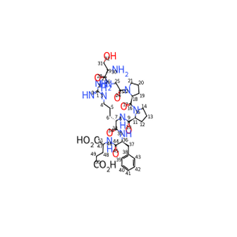 N=C(N)NCCC[C@H](NC(=O)[C@@H]1CCCN1C(=O)[C@@H]1CCCN1C(=O)CNC(=O)[C@@H](N)CO)C(=O)N[C@@H](Cc1ccccc1)C(=O)N[C@@H](CCC(=O)O)C(=O)O